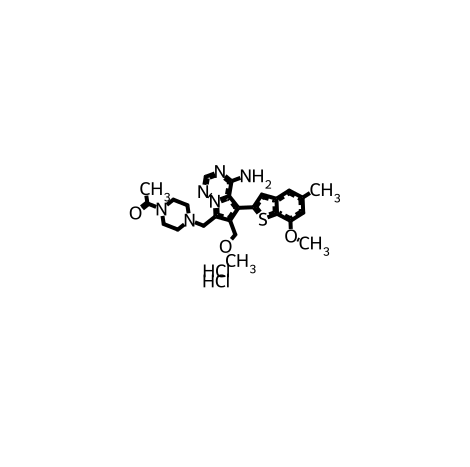 COCc1c(-c2cc3cc(C)cc(OC)c3s2)c2c(N)ncnn2c1CN1CCN(C(C)=O)CC1.Cl.Cl